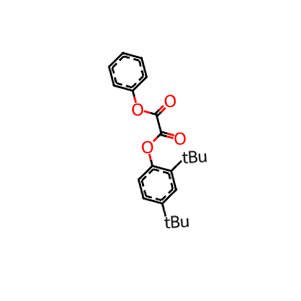 CC(C)(C)c1ccc(OC(=O)C(=O)Oc2ccccc2)c(C(C)(C)C)c1